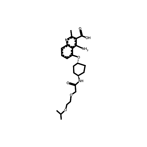 Cc1nc2cccc(O[C@H]3CC[C@H](NC(=O)COCCOC(C)C)CC3)c2c(N)c1C(=O)O